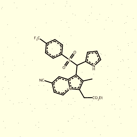 CCOC(=O)Cc1c(C)c(C(c2ccc[nH]2)S(=O)(=O)c2ccc(C(F)(F)F)cc2)c2cc(C#N)ccn12